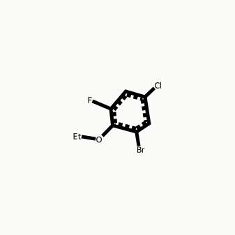 CCOc1c(F)cc(Cl)cc1Br